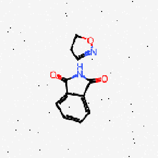 C1=NOCC1.O=C1NC(=O)c2ccccc21